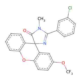 CN1C(=O)C2(N=C1c1cccc(Cl)c1)c1ccccc1Oc1ccc(OC(F)(F)F)cc12